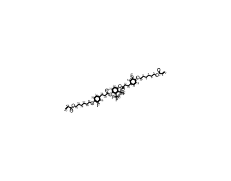 C=CC(=O)OCCCCCCOc1ccc(CCC(=O)Oc2ccc(OC(=O)CCc3ccc(OCCCCCCOC(=O)C=C)c(F)c3)c(C(F)(F)F)c2C(F)(F)F)cc1F